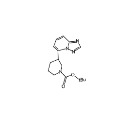 CC(C)(C)OC(=O)N1CCCC(c2cccc3ncnn23)C1